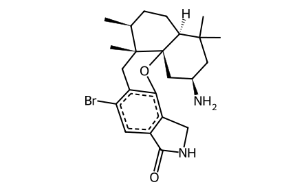 C[C@H]1CC[C@H]2C(C)(C)C[C@@H](N)C[C@]23Oc2c(c(Br)cc4c2CNC4=O)C[C@]13C